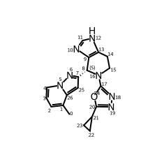 Cc1cccn2nc([C@@H]3c4nc[nH]c4CCN3c3nnc(C4CC4)o3)cc12